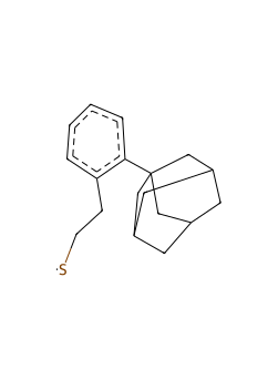 [S]CCc1ccccc1C12CC3CC(CC(C3)C1)C2